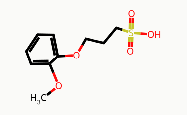 COc1ccccc1OCCCS(=O)(=O)O